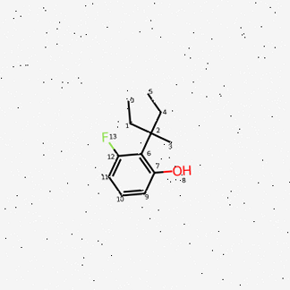 CCC(C)(CC)c1c(O)cccc1F